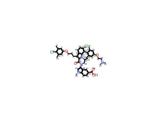 Cc1cc(OCCCc2c3n(c4c(-c5c(C)cc(OCCN(C)C)cc5C)c(Cl)ccc24)C(C)CN(c2cn(C)c4ccc(C(=O)O)cc24)C3=O)cc(C)c1Cl